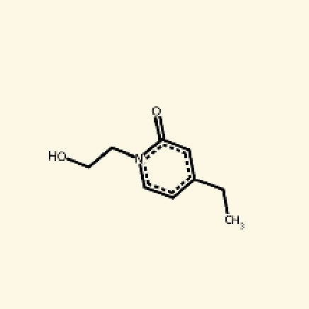 CCc1ccn(CCO)c(=O)c1